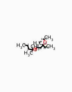 CCCC(C)(C)OCCC(C)(CC)OCC